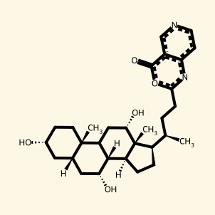 C[C@H](CCc1nc2ccncc2c(=O)o1)[C@H]1CC[C@H]2[C@H]3C(C[C@H](O)[C@]12C)[C@@]1(C)CC[C@@H](O)C[C@H]1C[C@H]3O